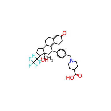 C[C@]12C[C@H](c3ccc(CN4CCC(C(=O)O)CC4)cc3)C3=C4CCC(=O)C=C4CCC3C1CC[C@]2(O)C(F)(F)C(F)(F)F